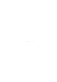 CO/C(=N\C1CCCCC1)NC1CCCCC1C